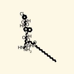 CCCCCCCCCCCCCCCCNC(=O)CCC(=O)OC(CCCNC(=N)N)C(=O)NCCN1CCC(NC(=O)C(=O)Nc2ccc(Cl)cc2)CC12CCCCC2